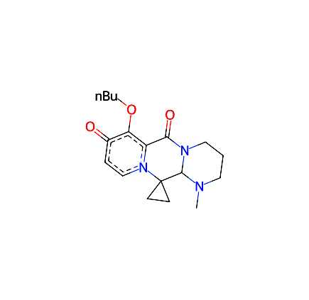 CCCCOc1c2n(ccc1=O)C1(CC1)C1N(C)CCCN1C2=O